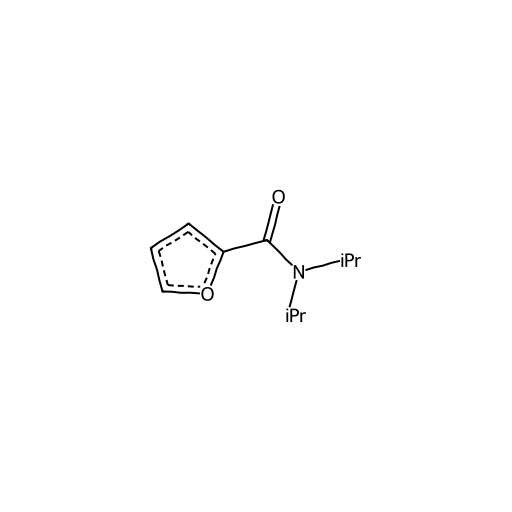 CC(C)N(C(=O)c1ccco1)C(C)C